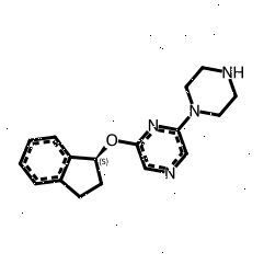 c1ccc2c(c1)CC[C@@H]2Oc1cncc(N2CCNCC2)n1